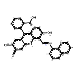 O=C(O)c1ccccc1-c1c2cc(Cl)c(=O)cc-2oc2c(/C=N/c3cccc4cccnc34)c(O)ccc12